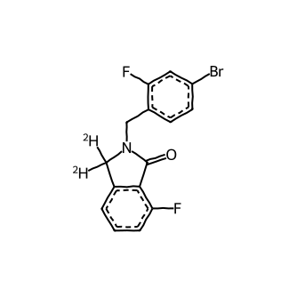 [2H]C1([2H])c2cccc(F)c2C(=O)N1Cc1ccc(Br)cc1F